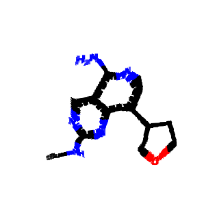 CC(C)(C)Nc1ncc2c(N)ncc(C3CCOC3)c2n1